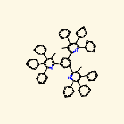 Cc1c(-c2cc(-c3nc(-c4ccccc4)c(-c4ccccc4)c(-c4ccccc4)c3C)cc(-c3nc(-c4ccccc4)c(-c4ccccc4)c(-c4ccccc4)c3C)c2)nc(-c2ccccc2)c(-c2ccccc2)c1-c1ccccc1